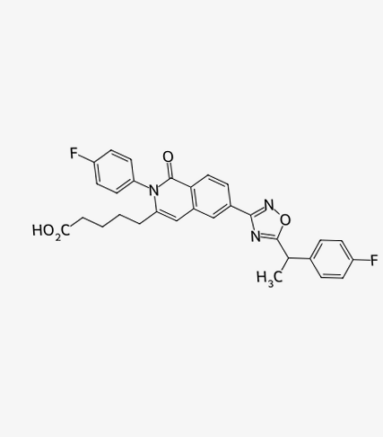 CC(c1ccc(F)cc1)c1nc(-c2ccc3c(=O)n(-c4ccc(F)cc4)c(CCCCC(=O)O)cc3c2)no1